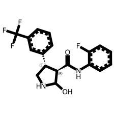 O=C(Nc1ccccc1F)[C@H]1C(O)NC[C@@H]1c1cccc(C(F)(F)F)c1